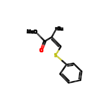 CCCCC(=CSc1ccccc1)C(=O)OC